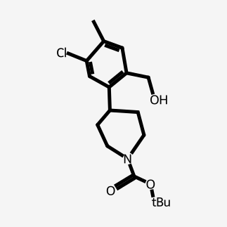 Cc1cc(CO)c(C2CCN(C(=O)OC(C)(C)C)CC2)cc1Cl